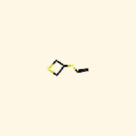 C=CSC1CSC1